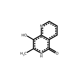 Cc1[nH]c(=O)c2cccnc2c1O